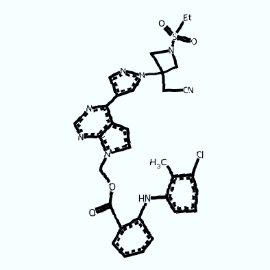 CCS(=O)(=O)N1CC(CC#N)(n2cc(-c3ncnc4c3ccn4COC(=O)c3ccccc3Nc3cccc(Cl)c3C)cn2)C1